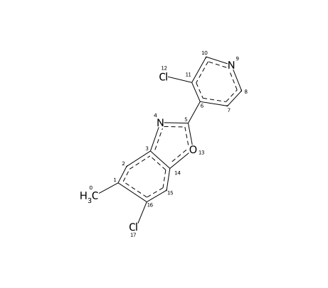 Cc1cc2nc(-c3ccncc3Cl)oc2cc1Cl